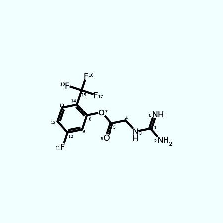 N=C(N)NCC(=O)Oc1cc(F)ccc1C(F)(F)F